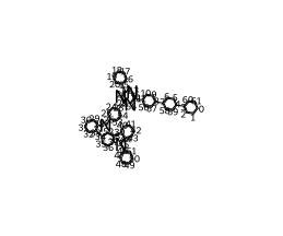 c1ccc(-c2ccc(-c3ccc(-c4nc(-c5ccccc5)nc(-c5ccc(-n6c7ccccc7c7ccc8c(c9ccccc9n8-c8ccccc8)c76)cc5)n4)cc3)cc2)cc1